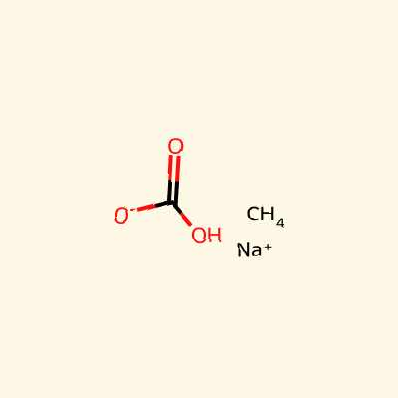 C.O=C([O-])O.[Na+]